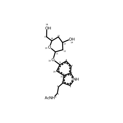 CC(=O)NCCc1c[nH]c2ccc(OC3CC(O)CC(CO)O3)cc12